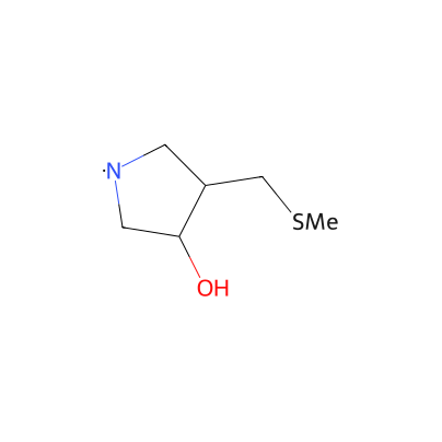 CSCC1C[N]CC1O